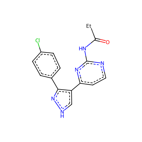 CCC(=O)Nc1nccc(-c2c[nH]nc2-c2ccc(Cl)cc2)n1